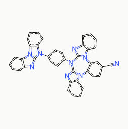 N#Cc1ccc2c(c1)n1c3ccccc3nc1n(-c1ccc(-n3c4ccccc4n4c5ccccc5nc34)cc1)c1nc3ccccc3n21